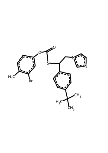 Cc1ccc(OC(=O)SC(Cn2ccnc2)c2ccc(C(C)(C)C)cc2)cc1Br